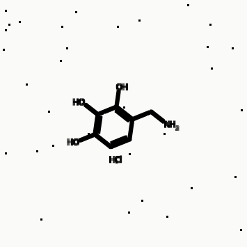 Cl.NCc1ccc(O)c(O)c1O